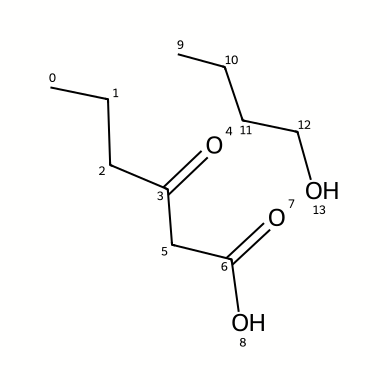 CCCC(=O)CC(=O)O.CCCCO